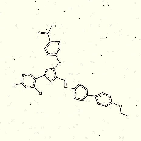 CCOc1ccc(-c2ccc(C=Cc3nc(-c4ccc(Cl)cc4Cl)cn3Cc3ccc(C(=O)O)cc3)cc2)cc1